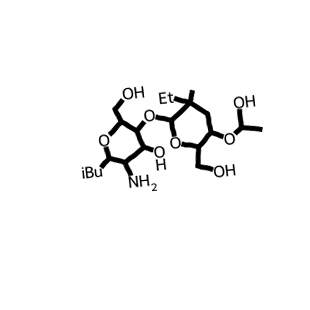 CCC(C)C1OC(CO)C(OC2OC(CO)C(OC(C)O)CC2(C)CC)C(O)C1N